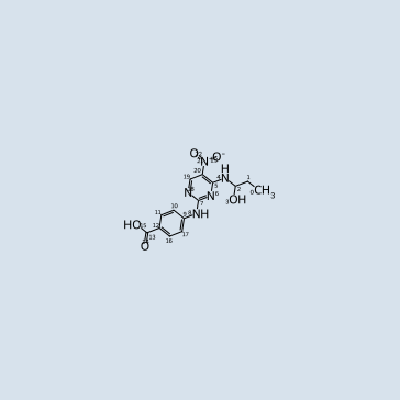 CCC(O)Nc1nc(Nc2ccc(C(=O)O)cc2)ncc1[N+](=O)[O-]